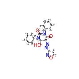 O=c1c(N=Nc2ccon2)c(O)n(-c2ccccc2)c(=O)n1-c1ccccc1